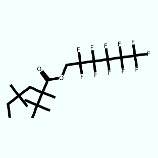 CCC(C)(C)CC(C)(C(=O)OCC(F)(F)C(F)(F)C(F)(F)C(F)(F)C(F)(F)F)C(C)(C)C